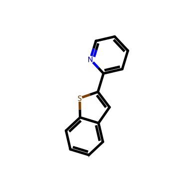 [c]1ccc2sc(-c3ccccn3)cc2c1